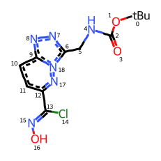 CC(C)(C)OC(=O)NCc1nnc2ccc(/C(Cl)=N/O)nn12